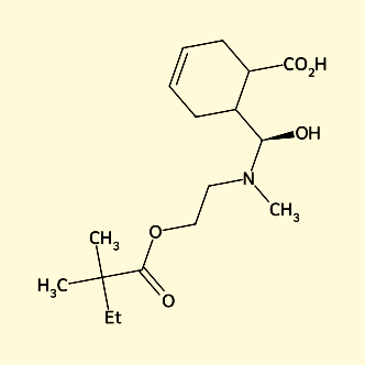 CCC(C)(C)C(=O)OCCN(C)[C@H](O)C1CC=CCC1C(=O)O